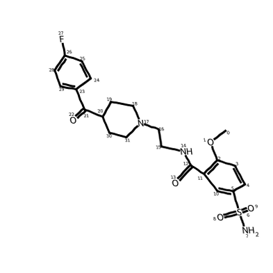 COc1ccc(S(N)(=O)=O)cc1C(=O)NCCN1CCC(C(=O)c2ccc(F)cc2)CC1